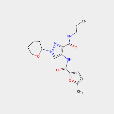 Cc1ccc(C(=O)Nc2cn(C3CCCCO3)nc2C(=O)NCCC#N)o1